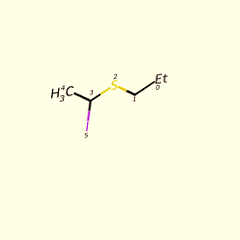 CCCSC(C)I